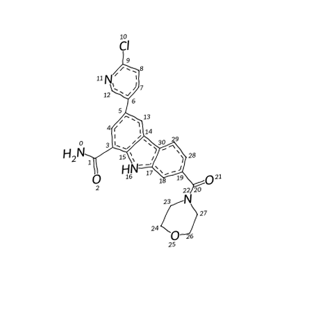 NC(=O)c1cc(-c2ccc(Cl)nc2)cc2c1[nH]c1cc(C(=O)N3CCOCC3)ccc12